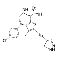 C=C(c1ccc(Cl)cc1)c1c(N(C(C)=N)C(=N)CC)sc(C#CC2C=NNC2)c1C